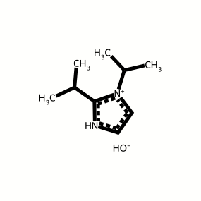 CC(C)c1[nH]cc[n+]1C(C)C.[OH-]